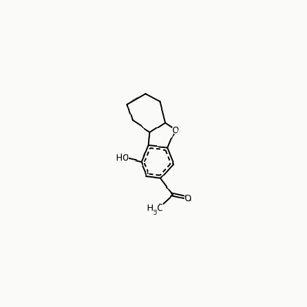 CC(=O)c1cc(O)c2c(c1)OC1CCCCC21